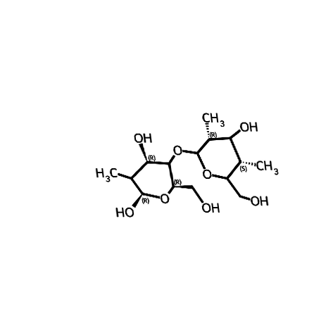 CC1[C@@H](O)C(OC2OC(CO)[C@@H](C)C(O)[C@H]2C)[C@@H](CO)O[C@H]1O